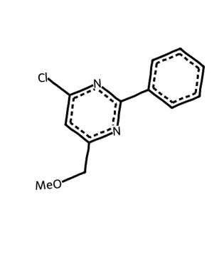 COCc1cc(Cl)nc(-c2ccccc2)n1